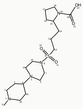 CN1CCC(N2CCN(S(=O)(=O)CCCC3CCCN3C(=O)O)CC2)CC1